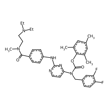 CCN(CC)CCN(C)C(=O)c1ccc(Nc2nccc(N(Cc3ccc(F)c(F)c3)C(=O)Oc3c(C)cc(C)cc3C)n2)cc1